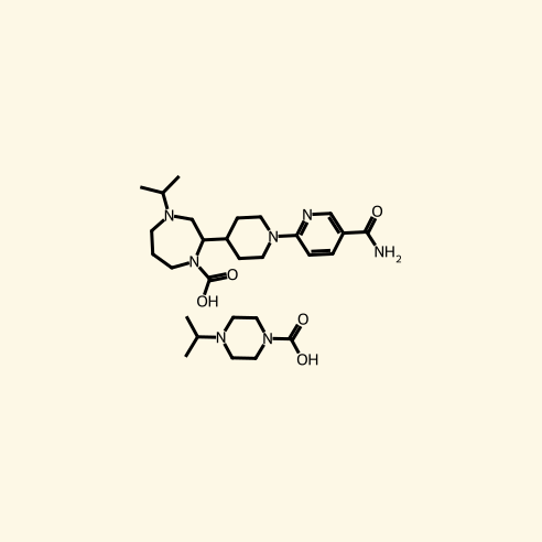 CC(C)N1CCCN(C(=O)O)C(C2CCN(c3ccc(C(N)=O)cn3)CC2)C1.CC(C)N1CCN(C(=O)O)CC1